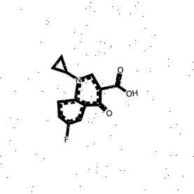 O=C(O)c1cn(C2CC2)c2ccc(F)cc2c1=O